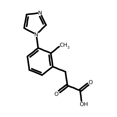 Cc1c(CC(=O)C(=O)O)cccc1-n1ccnc1